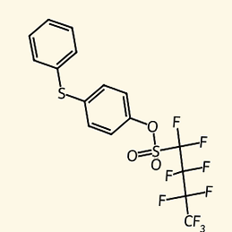 O=S(=O)(Oc1ccc(Sc2ccccc2)cc1)C(F)(F)C(F)(F)C(F)(F)C(F)(F)F